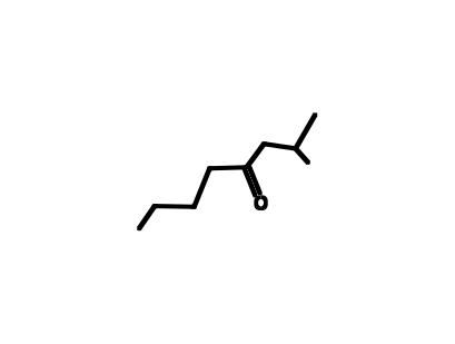 CCCCC(=O)CC(C)C